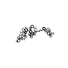 Cn1cc(-c2cc(NS(C)(=O)=O)c(C(=O)NCCCCCc3cccc4c3CN(C3CCC(=O)NC3=O)C4=O)cc2OC2CCCCC2)c2cc(C(=O)NCCNC(=O)OC(C)(C)C)[nH]c2c1=O